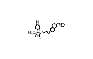 CC(C)C(NCCCOc1ccc2c(c1)CCC(CN1CCCC1)C2)C1CCNCC1